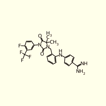 CC1(C)C(=O)N(c2ccc(F)c(C(F)(F)F)c2)C(=O)N1Cc1ccccc1Nc1ccc(C(=N)N)cc1